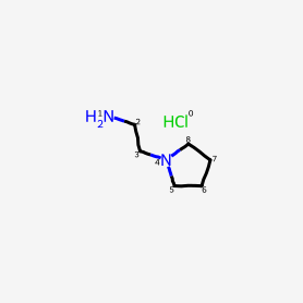 Cl.NCCN1CCCC1